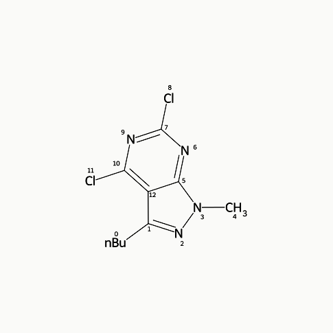 CCCCc1nn(C)c2nc(Cl)nc(Cl)c12